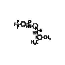 Cc1cc(C)nc(NC(=S)N2CCCC(NC(=O)c3ccc(C(F)(F)F)cc3)C2)c1